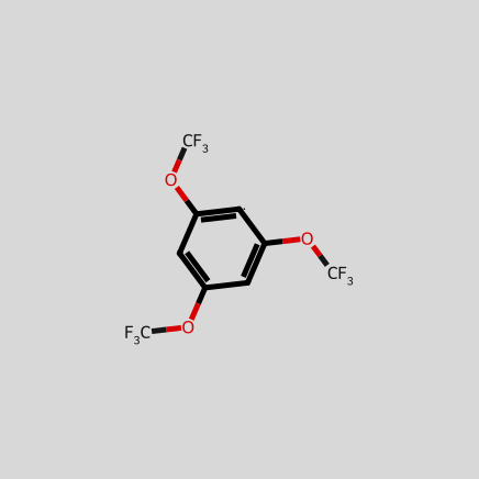 FC(F)(F)Oc1[c]c(OC(F)(F)F)cc(OC(F)(F)F)c1